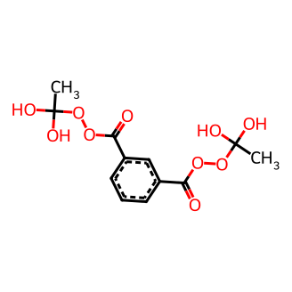 CC(O)(O)OOC(=O)c1cccc(C(=O)OOC(C)(O)O)c1